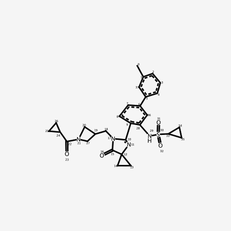 Cc1cccc(-c2ccc(C3=NC4(CC4)C(=O)N3CC3CN(C(=O)C4CC4)C3)c(NS(=O)(=O)C3CC3)c2)c1